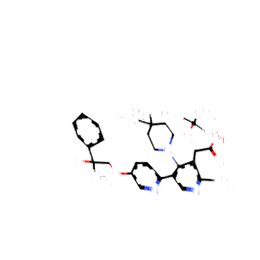 Cc1ncc(-c2ccc(OCC(C)(O)c3ccccc3)cn2)c(N2CCC(C)(C)CC2)c1[C@H](OC(C)(C)C)C(=O)O